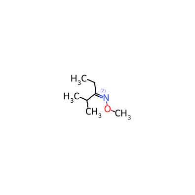 CC/C(=N/OC)C(C)C